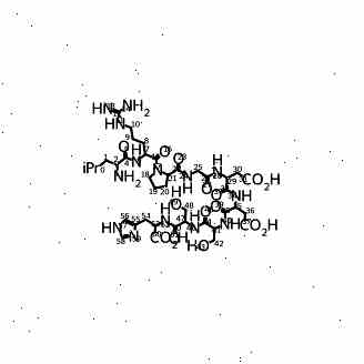 CC(C)CC(N)C(=O)NC(CCCNC(=N)N)C(=O)N1CCCC1C(=O)NCC(=O)NC(CC(=O)O)C(=O)NC(CC(=O)O)C(=O)NC(CO)C(=O)NC(CO)C(=O)NC(Cc1c[nH]cn1)C(=O)O